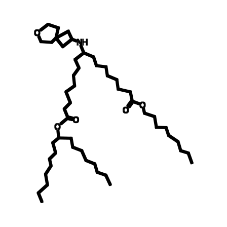 CCCCCCCCCOC(=O)CCCCCCCC(CCCCCCCC(=O)OC(CCCCCCCC)CCCCCCCC)NC1CC2(CCOCC2)C1